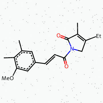 CCC1=C(C)C(=O)N(C(=O)/C=C/c2cc(C)c(C)c(OC)c2)C1